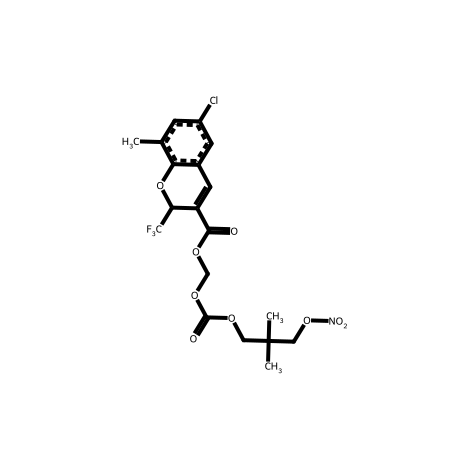 Cc1cc(Cl)cc2c1OC(C(F)(F)F)C(C(=O)OCOC(=O)OCC(C)(C)CO[N+](=O)[O-])=C2